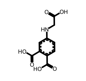 O=C(O)CNc1ccc(C(=O)O)c(C(=O)O)c1